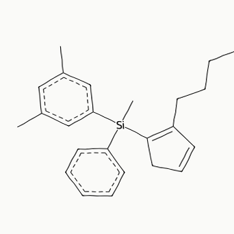 CCCCC1=C([Si](C)(c2ccccc2)c2cc(C)cc(C)c2)CC=C1